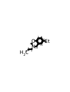 C=CCN1COc2ccc(CC)cc2C1